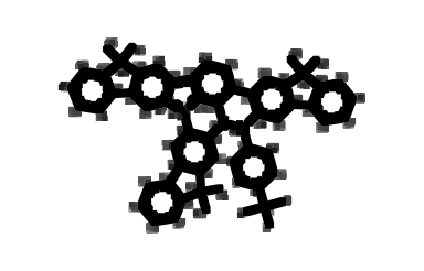 CC(C)(C)c1ccc(N2B3c4cc5c(cc4-n4c6cc7c(cc6c6ccc(c3c64)-c3cc4c(cc32)-c2ccccc2C4(C)C)C(C)(C)c2ccccc2-7)-c2ccccc2C5(C)C)cc1